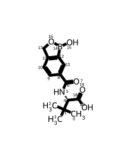 CC(C)(C)[C@H](NC(=O)c1ccc2c(c1)B(O)OC2)C(=O)O